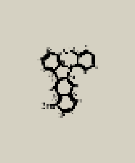 Clc1ccccc1-n1c2ccccc2c2cc3c(Br)cccc3cc21